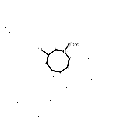 CCCCCN1CCCCCC(I)C1